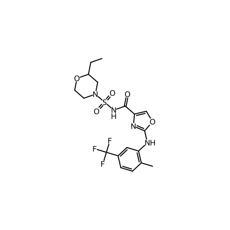 CCC1CN(S(=O)(=O)NC(=O)c2coc(Nc3cc(C(F)(F)F)ccc3C)n2)CCO1